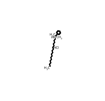 CCCCCCCCCCCCCCCCCCNC(C)(C)c1ccccc1.Cl